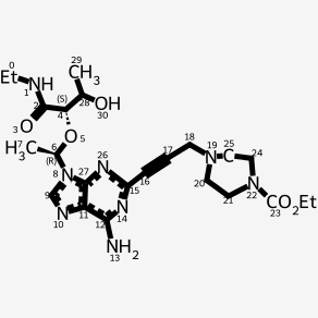 CCNC(=O)[C@@H](O[C@H](C)n1cnc2c(N)nc(C#CCN3CCN(C(=O)OCC)CC3)nc21)C(C)O